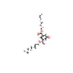 CCCCCCCCOC(=O)c1cc(O)cc(C(=O)OCCCCCCCC)c1